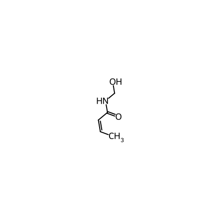 C/C=C\C(=O)NCO